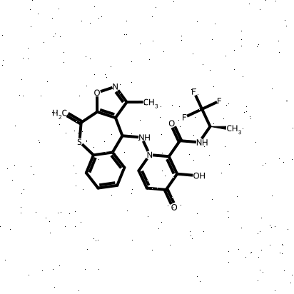 C=C1Sc2ccccc2C(Nn2ccc(=O)c(O)c2C(=O)N[C@H](C)C(F)(F)F)c2c(C)noc21